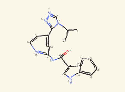 CC(C)n1cnnc1-c1ccnc(NC(=O)c2c[nH]c3ccccc23)c1